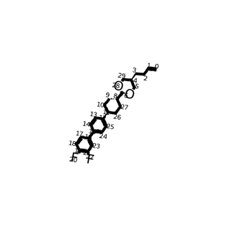 C=CCC[C@H]1CO[C@H]([C@H]2CC[C@H](c3ccc(-c4ccc(F)c(F)c4)cc3)CC2)OC1